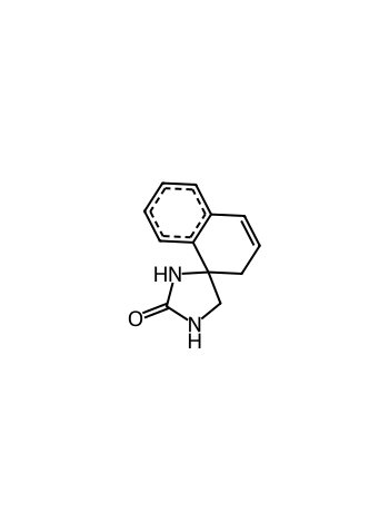 O=C1NCC2(CC=Cc3ccccc32)N1